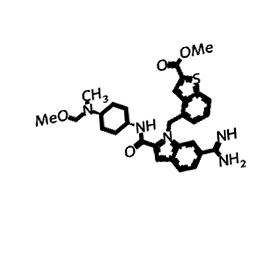 COCN(C)[C@H]1CC[C@H](NC(=O)c2cc3ccc(C(=N)N)cc3n2Cc2cccc3sc(C(=O)OC)cc23)CC1